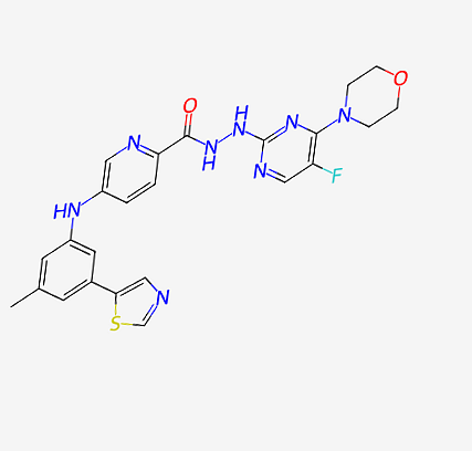 Cc1cc(Nc2ccc(C(=O)NNc3ncc(F)c(N4CCOCC4)n3)nc2)cc(-c2cncs2)c1